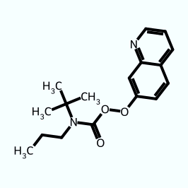 CCCN(C(=O)OOc1ccc2cccnc2c1)C(C)(C)C